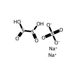 O=S(=O)([O-])[O-].O=S(O)S(=O)O.[Na+].[Na+]